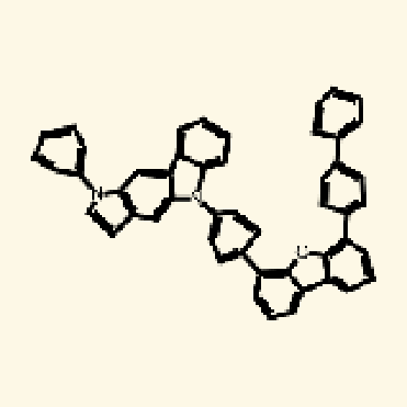 c1ccc(-c2ccc(-c3cccc4c3oc3c(-c5ccc(-n6c7ccccc7c7cc8c(ccn8-c8ccccc8)cc76)cc5)cccc34)cc2)cc1